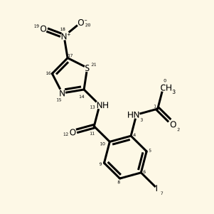 CC(=O)Nc1cc(I)ccc1C(=O)Nc1ncc([N+](=O)[O-])s1